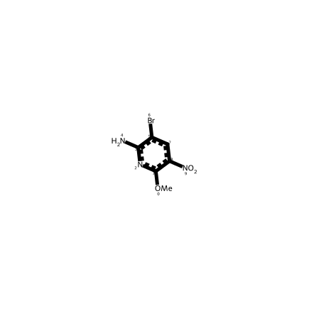 COc1nc(N)c(Br)cc1[N+](=O)[O-]